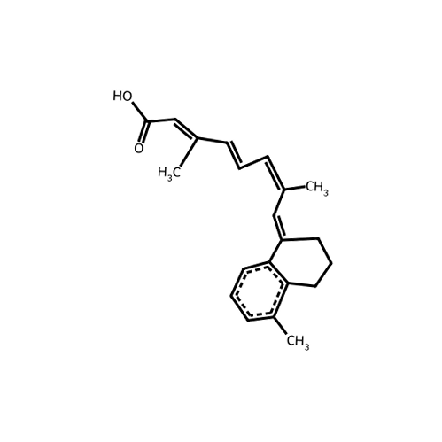 CC(=C/C=C/C(C)=C/C(=O)O)/C=C1\CCCc2c(C)cccc21